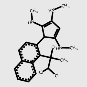 CNC1=CC(NC)=C(NC)C1c1ccc2ccccc2c1C(C)([O])C(Cl)Cl